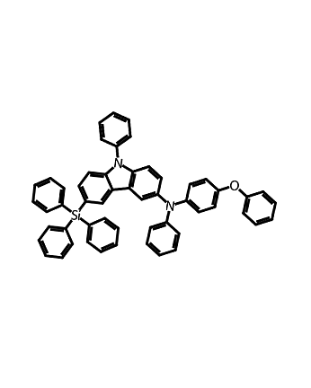 c1ccc(Oc2ccc(N(c3ccccc3)c3ccc4c(c3)c3cc([Si](c5ccccc5)(c5ccccc5)c5ccccc5)ccc3n4-c3ccccc3)cc2)cc1